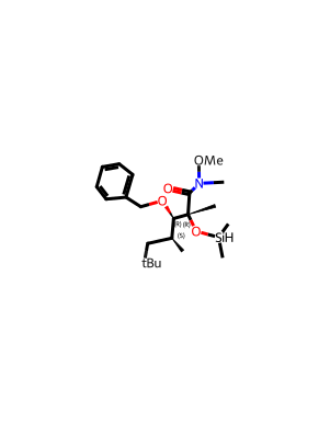 CON(C)C(=O)[C@](C)(O[SiH](C)C)[C@H](OCc1ccccc1)[C@@H](C)CC(C)(C)C